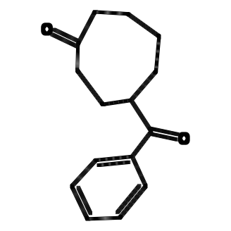 O=C1CCCCC(C(=O)c2ccccc2)CC1